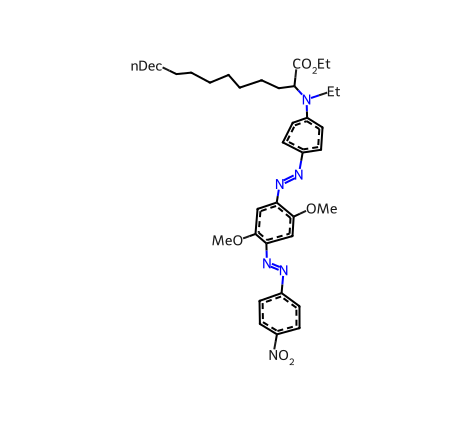 CCCCCCCCCCCCCCCCCC(C(=O)OCC)N(CC)c1ccc(/N=N/c2cc(OC)c(/N=N/c3ccc([N+](=O)[O-])cc3)cc2OC)cc1